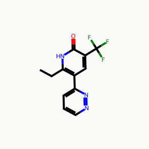 CCc1[nH]c(=O)c(C(F)(F)F)cc1-c1cccnn1